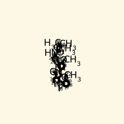 COc1ccc(N2Cc3c(ccnc3-c3c(F)cccc3OC)C2=O)nc1N1CCC(NC(=O)OC(C)(C)C)C1